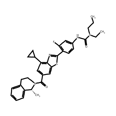 CCCN(CC)C(=O)Nc1ccc(-c2nc3c(C4CC4)cc(C(=O)N4CCc5ccccc5[C@H]4C)cc3s2)c(F)c1